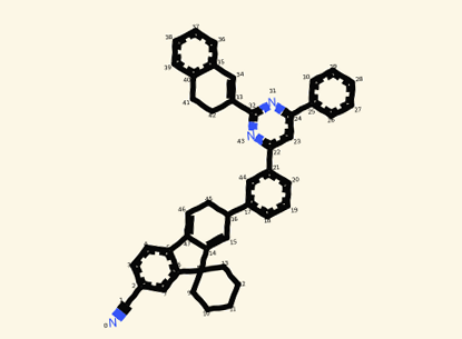 N#Cc1ccc2c(c1)C1(CCCCC1)C1=CC(c3cccc(-c4cc(-c5ccccc5)nc(C5=Cc6ccccc6CC5)n4)c3)CC=C12